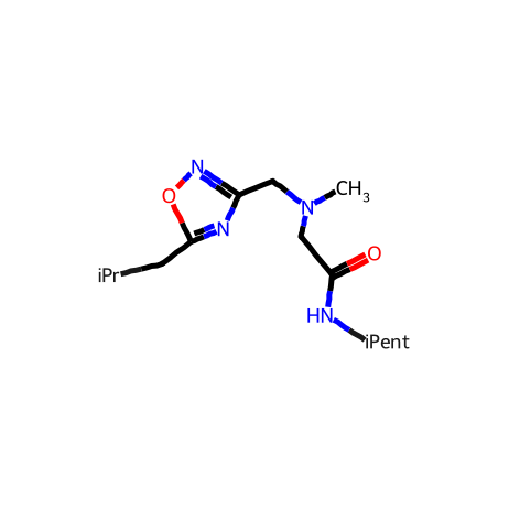 CCCC(C)NC(=O)CN(C)Cc1noc(CC(C)C)n1